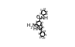 Nc1cc(C(=O)Nc2ccccc2)cc2cc(-c3ccccc3)[nH]c12